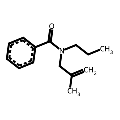 C=C(C)CN(CCC)C(=O)c1ccccc1